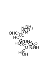 Nc1ncnc2c1ncn2[C@@H]1O[C@H](COP(=O)(O)O[C@H]2[C@@H](O)[C@H](n3cnc4c(=O)[nH]cnc43)O[C@@H]2COPO)[C@@H](O)[C@H]1CC=O